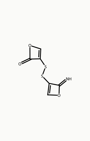 N=C1OC=C1SSC1=COC1=O